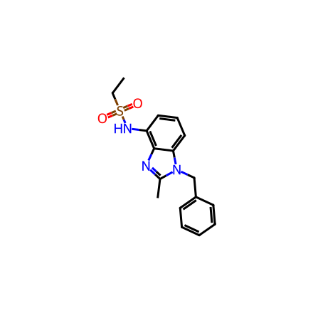 CCS(=O)(=O)Nc1cccc2c1nc(C)n2Cc1ccccc1